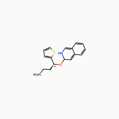 CNCC[C@H](OC1C=c2ccccc2=CN1)c1cccs1